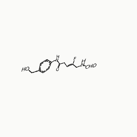 O=CNC/C(F)=C/CC(=O)Nc1ccc(CO)cc1